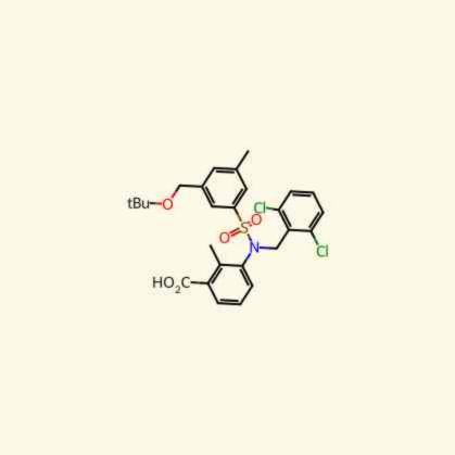 Cc1cc(COC(C)(C)C)cc(S(=O)(=O)N(Cc2c(Cl)cccc2Cl)c2cccc(C(=O)O)c2C)c1